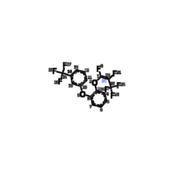 F/C(Oc1ccccc1Oc1cccc(C(F)(F)F)c1)=C(\F)C(F)(F)F